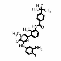 Cc1c(NC(=O)c2ccc(C(C)(C)C)cc2)cccc1-c1cn(C)c(=O)c(Nc2ccc(I)c(N)c2)n1